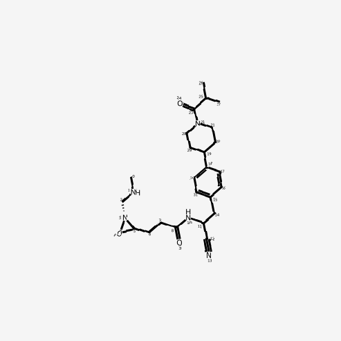 CNC[N@@]1OC1CCC(=O)NC(C#N)Cc1ccc(C2CCN(C(=O)C(C)C)CC2)cc1